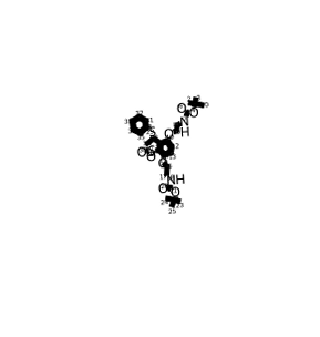 CC(C)(C)OC(=O)NCCOc1ccc(OCCNC(=O)OC(C)(C)C)c2c1C(Sc1ccccc1)CS2(=O)=O